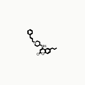 CCCc1ccc2oc(=O)cc(NC3CCN(CC=Cc4ccccc4)CC3)c2c1